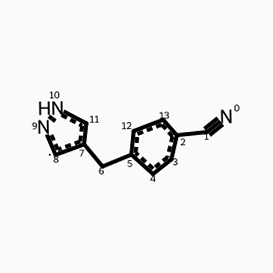 N#Cc1ccc(Cc2[c]n[nH]c2)cc1